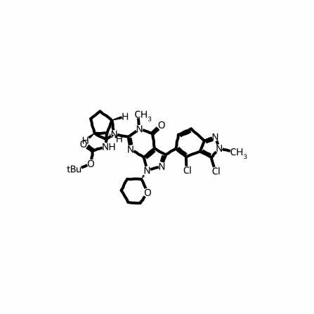 Cn1nc2ccc(-c3nn([C@H]4CCCCO4)c4nc(N5C[C@@H]6CC[C@H]5[C@H]6NC(=O)OC(C)(C)C)n(C)c(=O)c34)c(Cl)c2c1Cl